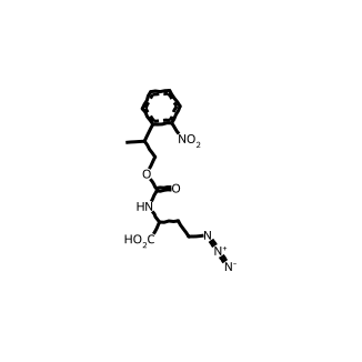 CC(COC(=O)NC(CCN=[N+]=[N-])C(=O)O)c1ccccc1[N+](=O)[O-]